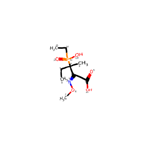 CCC(C)(C(=NOC)C(=O)O)P(=O)(O)CC